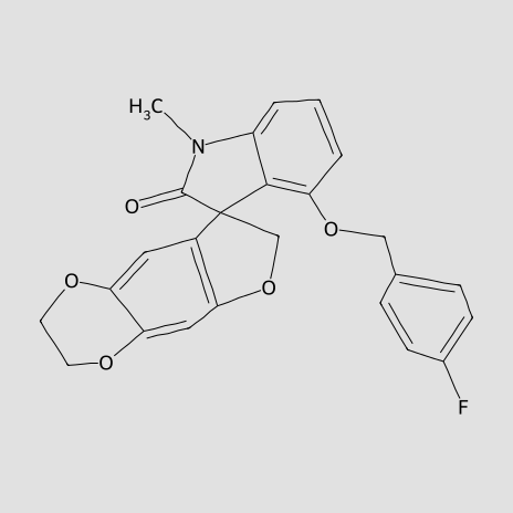 CN1C(=O)C2(COc3cc4c(cc32)OCCO4)c2c(OCc3ccc(F)cc3)cccc21